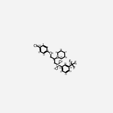 O=S(=O)(CC(COc1ccc(Cl)cc1)N1CCCCC1)c1cccc(C(F)(F)F)c1